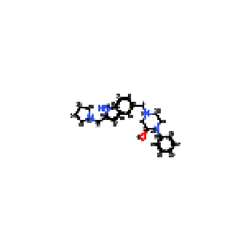 O=C1CN(Cc2ccc3[nH]c(CN4CCCC4)cc3c2)CCN1c1ccccc1